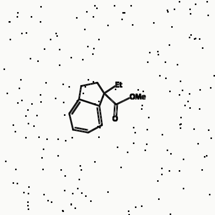 CCC1(C(=O)OC)CCc2ccccc21